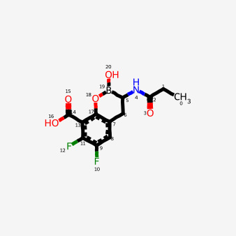 CCC(=O)NC1Cc2cc(F)c(F)c(C(=O)O)c2OB1O